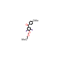 COCCOCOc1c(I)cc(C(=O)c2ccc(OC)cc2)cc1I